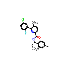 COc1ccc(C(=O)N[C@@H](CC(=O)O)c2ccc(C)cc2)nc1-c1cc(Cl)ccc1F